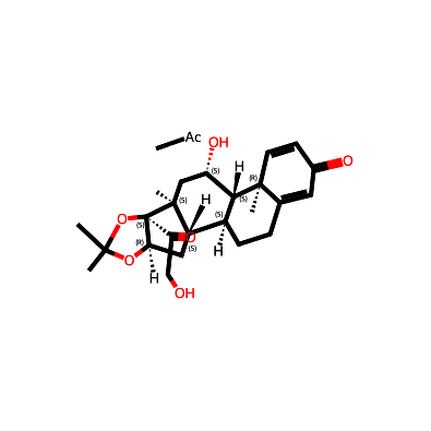 CC(C)=O.CC1(C)O[C@@H]2C[C@H]3[C@@H]4CCC5=CC(=O)C=C[C@]5(C)[C@H]4[C@@H](O)C[C@]3(C)[C@]2(C(=O)CO)O1